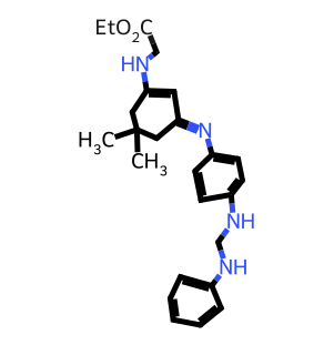 CCOC(=O)CNC1=C/C(=N/c2ccc(NCNc3ccccc3)cc2)CC(C)(C)C1